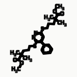 COC(=O)C(C)(C)CCCSc1cc(-c2ccccc2)c(SCCCC(C)(C)C(=O)OC)nn1